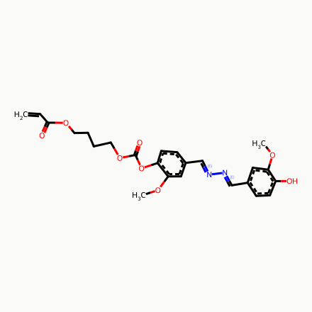 C=CC(=O)OCCCCOC(=O)Oc1ccc(/C=N/N=C/c2ccc(O)c(OC)c2)cc1OC